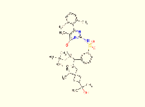 CCC1(C[C@H](C)C2c3cccc(c3)S(=O)(=O)Nc3nc(c(C)c(-c4c(C)cccc4C)n3)OC[C@H]2CC(C)(C)C)CC(C(C)(C)O)C1